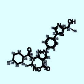 CC(C)N(c1nn(-c2ccc(-c3cnc([C@@H](C)O)s3)cc2)cc1C(=O)O)C(=O)[C@H]1CC[C@H](C)CC1